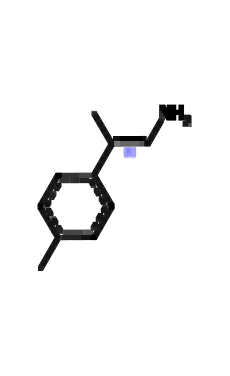 C/C(=C\N)c1ccc(C)cc1